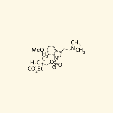 CCOC(=O)C(C)(C)COS(=O)(=O)n1cc(CCN(C)C)c2ccc(OC)cc21